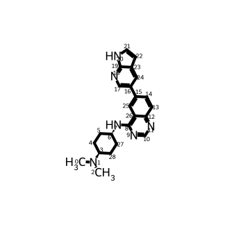 CN(C)[C@H]1CC[C@H](Nc2ncnc3ccc(-c4cnc5[nH]ccc5c4)cc23)CC1